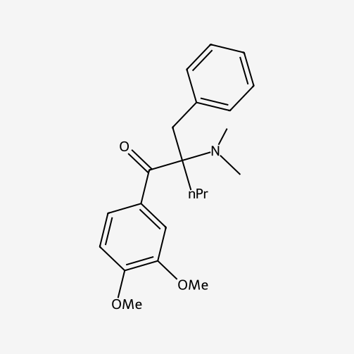 CCCC(Cc1ccccc1)(C(=O)c1ccc(OC)c(OC)c1)N(C)C